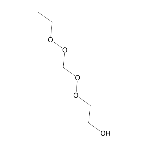 CCOOCOOCCO